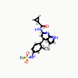 CCS(=O)(=O)Nc1ccc(-c2cc(NC(=O)C3CC3)nc3[nH]ccc23)c(C#N)c1